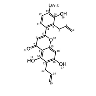 C=CCc1c(-c2cc(=O)c3c(O)c(CC=C)c(O)cc3o2)ccc(OC)c1O